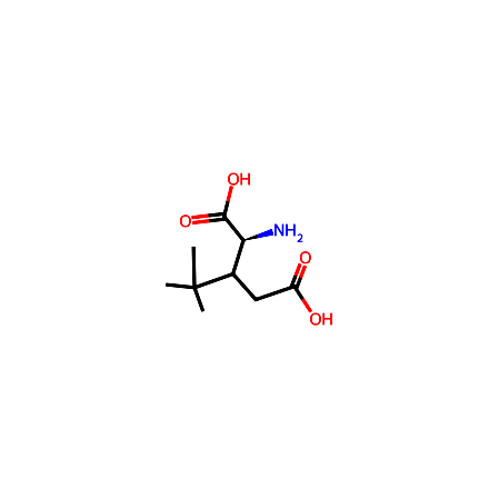 CC(C)(C)C(CC(=O)O)[C@H](N)C(=O)O